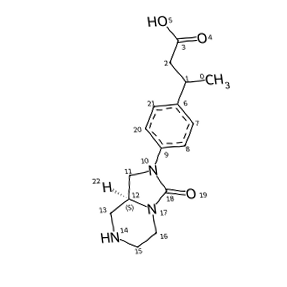 CC(CC(=O)O)c1ccc(N2C[C@@H]3CNCCN3C2=O)cc1